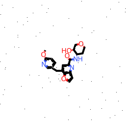 COc1ccc(Cc2cc(C(=O)N[C@H]3CCOC[C@@H]3O)nc3ccoc23)cn1